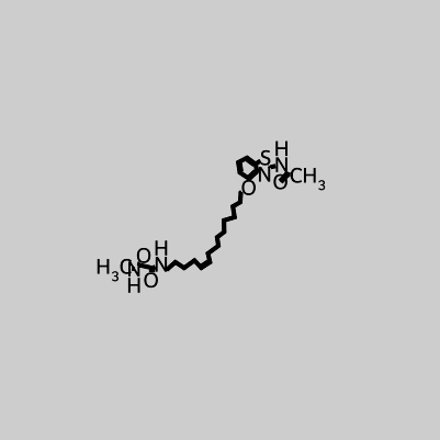 CNC(=O)C(=O)NCCCC/C=C\CCCCCCCCCOc1cccc2sc(NC(C)=O)nc12